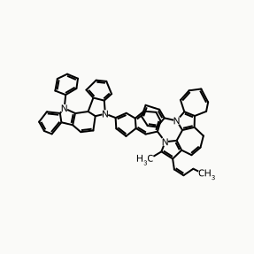 CC/C=C\c1c2c(n(C3=CCC=c4cc(N5c6ccccc6C6c7c(c8ccccc8n7-c7ccccc7)C=CC65)ccc4=C3)c1C)-c1c(c3c(n1-c1ccccc1)C=CC=CC3)CC=C2